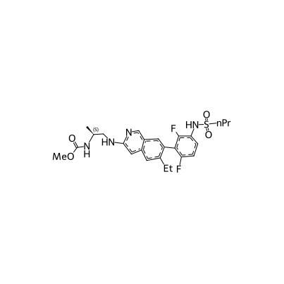 CCCS(=O)(=O)Nc1ccc(F)c(-c2cc3cnc(NC[C@H](C)NC(=O)OC)cc3cc2CC)c1F